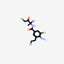 CCC(C)(NC(=O)c1cc(Cl)c(N)c(CCCl)c1)C(=O)CCl